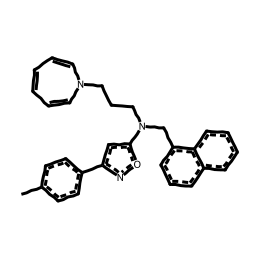 Cc1ccc(-c2cc(N(CCCN3C=CC=CC=C3)Cc3cccc4ccccc34)on2)cc1